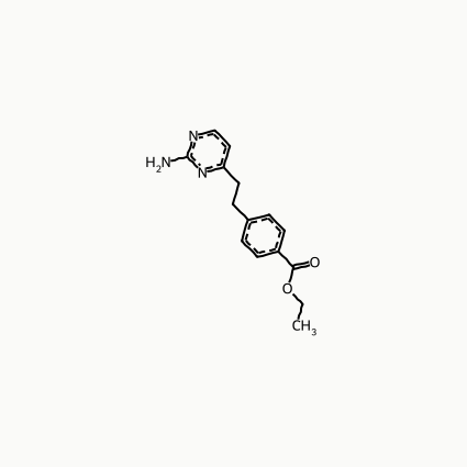 CCOC(=O)c1ccc(CCc2ccnc(N)n2)cc1